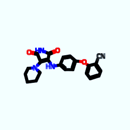 N#Cc1ccccc1Oc1ccc(NC2=C(N3CCCCC3)C(=O)NC2=O)cc1